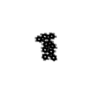 c1ccc(-n2c3ccccc3c3ccc([Si](c4ccccc4)(c4ccccc4)c4ccc(-n5c6ccccc6c6ccc7c8ccccc8n(-c8ccccc8)c7c65)cc4)cc32)cc1